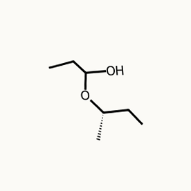 CCC(O)O[C@@H](C)CC